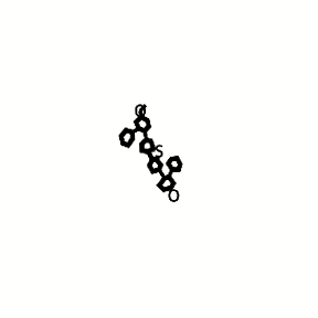 COc1ccc(-c2ccc3c(c2)sc2cc(-c4ccc(OC)cc4-c4ccccc4)ccc23)c(-c2ccccc2)c1